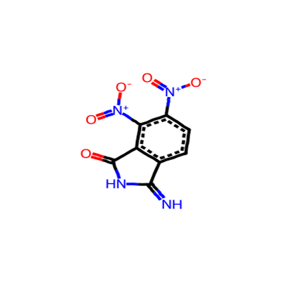 N=C1NC(=O)c2c1ccc([N+](=O)[O-])c2[N+](=O)[O-]